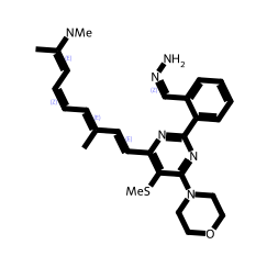 CN/C(C)=C/C=C\C=C(C)\C=C\c1nc(-c2ccccc2/C=N\N)nc(N2CCOCC2)c1SC